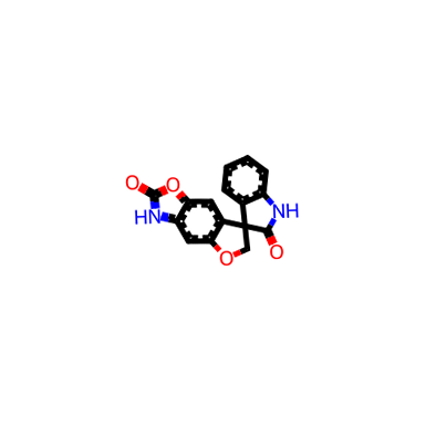 O=C1Nc2ccccc2C12COc1cc3[nH]c(=O)oc3cc12